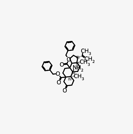 C=C(C)[C@H]1CCC2C3(C(=O)OCc4ccccc4)CCC4(C(=O)OCc5ccccc5)CC(=O)CC[C@]4(C)[C@@]3(N)CC[C@@]21C